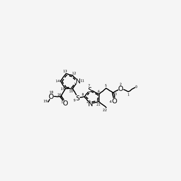 CCOC(=O)Cc1sc(Sc2ncccc2C(=O)OC)nc1C